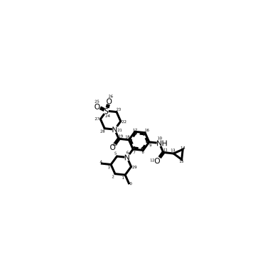 CC1CC(C)CN(c2cc(NC(=O)C3CC3)ccc2C(=O)N2CCS(=O)(=O)CC2)C1